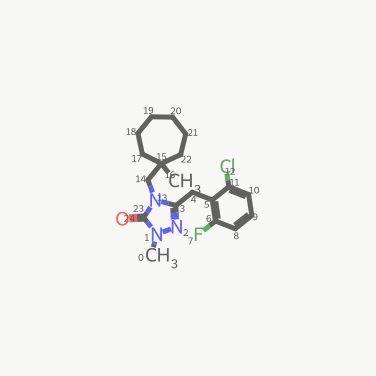 Cn1nc(Cc2c(F)cccc2Cl)n(CC2(C)CCCCCC2)c1=O